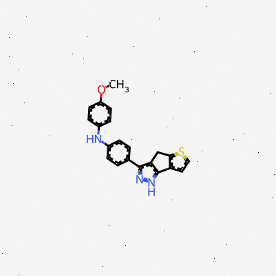 COc1ccc(Nc2ccc(-c3n[nH]c4c3Cc3sccc3-4)cc2)cc1